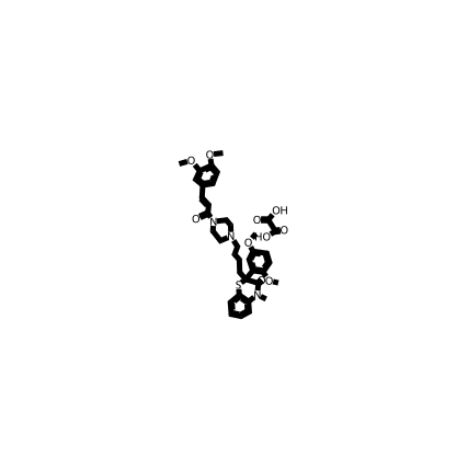 COc1ccc(OC)c(C2(CCCCN3CCN(C(=O)C=Cc4ccc(OC)c(OC)c4)CC3)Sc3ccccc3N(C)C2=O)c1.O=C(O)C(=O)O